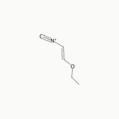 [C-]#[N+]/C=C/OCC